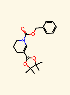 CC1(C)OB(C2=CN(C(=O)OCc3ccccc3)CCC2)OC1(C)C